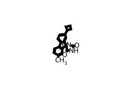 Cc1ccc2c(c1)[C@]1(NC(=O)NC1=O)c1cc(C3CCC3)ccc1-2